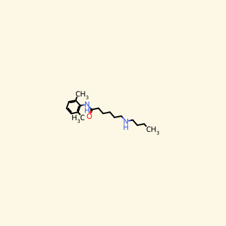 CCCCNCCCCCC(=O)Nc1c(C)cccc1C